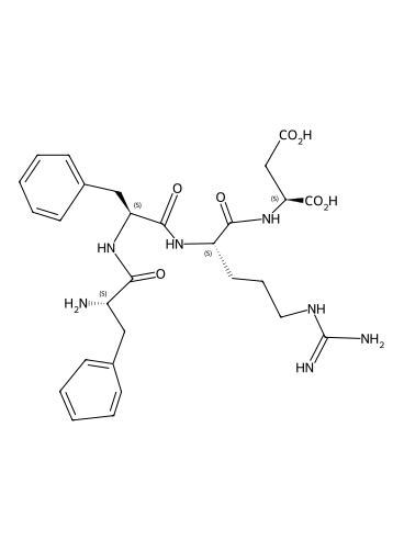 N=C(N)NCCC[C@H](NC(=O)[C@H](Cc1ccccc1)NC(=O)[C@@H](N)Cc1ccccc1)C(=O)N[C@@H](CC(=O)O)C(=O)O